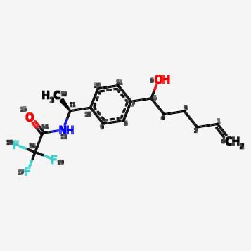 C=CCCCC(O)c1ccc([C@H](C)NC(=O)C(F)(F)F)cc1